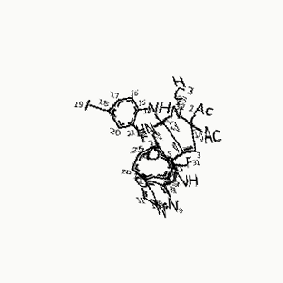 CC(=O)C1(C(C)=O)C=C(C(=O)Nc2nnco2)C(Nc2ccc(I)cc2F)(Nc2ccc(I)cc2F)N1C